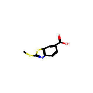 CSc1nc2ccc(C(=O)O)cc2s1